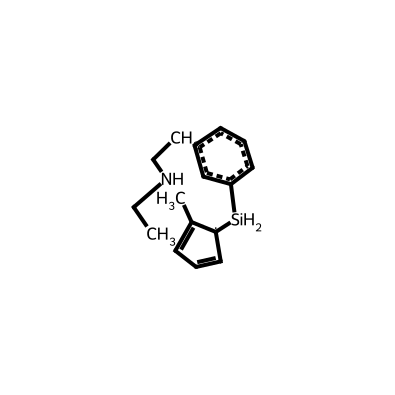 CC1=CC=C[C]1[SiH2]c1ccccc1.CCNCC